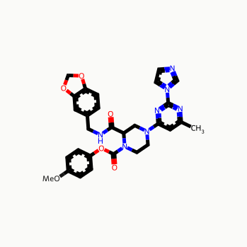 COc1ccc(OC(=O)N2CCN(c3cc(C)nc(-n4ccnc4)n3)CC2C(=O)NCc2ccc3c(c2)OCO3)cc1